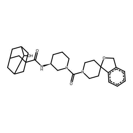 O=C(N1CCC2(CC1)OCc1ccccc12)N1CCC[C@H](NC(=O)C23CC4CC(C2)C(O)C(C4)C3)C1